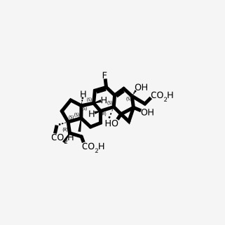 C[C@H](CC(=O)O)[C@@]1(CC(=O)O)CC[C@H]2[C@@H]3C=C(F)C4=C[C@@](O)(CC(=O)O)C5(O)CC5(O)[C@@]4(C)[C@@H]3CC[C@@]21C